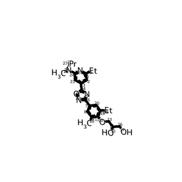 CCc1cc(-c2nc(-c3cc(C)c(OCC(O)CO)c(CC)c3)no2)cc(N(C)C(C)C)n1